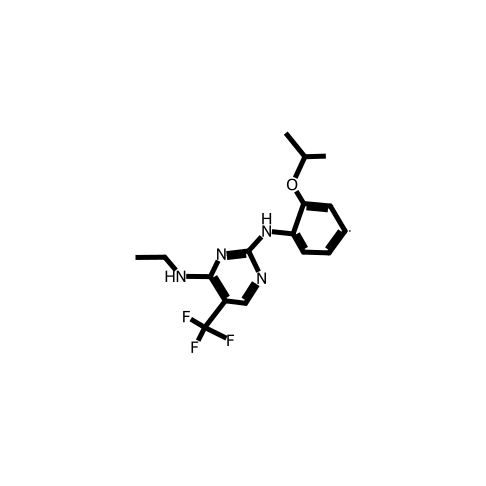 CCNc1nc(Nc2cc[c]cc2OC(C)C)ncc1C(F)(F)F